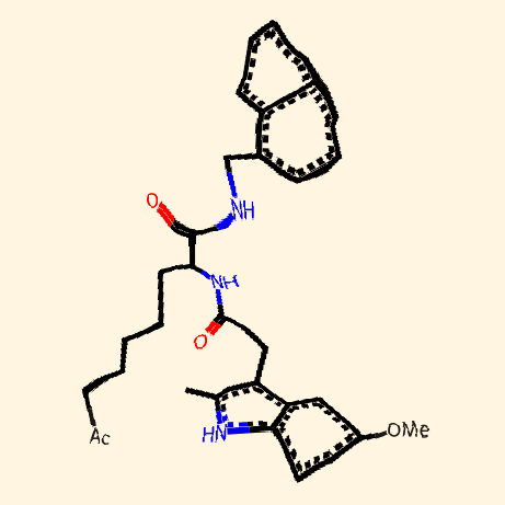 COc1ccc2[nH]c(C)c(CC(=O)NC(CCCCCC(C)=O)C(=O)NCc3cccc4ccccc34)c2c1